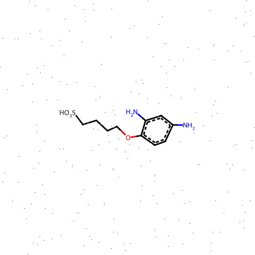 Nc1ccc(OCCCCS(=O)(=O)O)c(N)c1